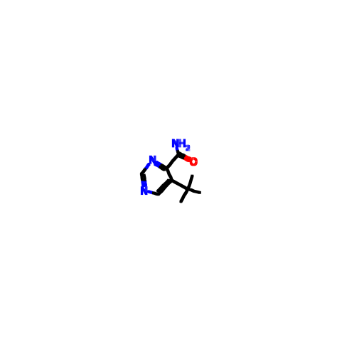 CC(C)(C)c1cncnc1C(N)=O